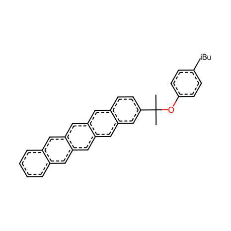 CCC(C)c1ccc(OC(C)(C)c2ccc3cc4cc5cc6ccccc6cc5cc4cc3c2)cc1